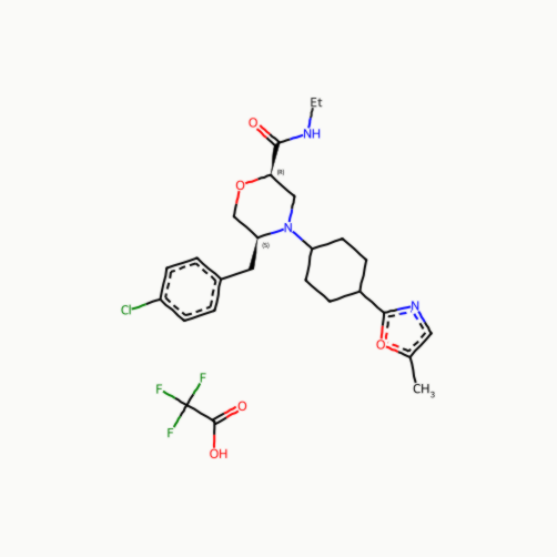 CCNC(=O)[C@H]1CN(C2CCC(c3ncc(C)o3)CC2)[C@@H](Cc2ccc(Cl)cc2)CO1.O=C(O)C(F)(F)F